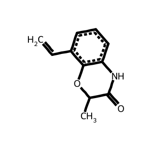 C=Cc1cccc2c1OC(C)C(=O)N2